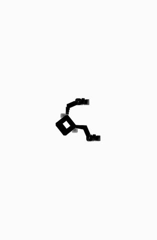 CC(=O)OC[C@H]1C=C[C@@H]1COC(C)=O